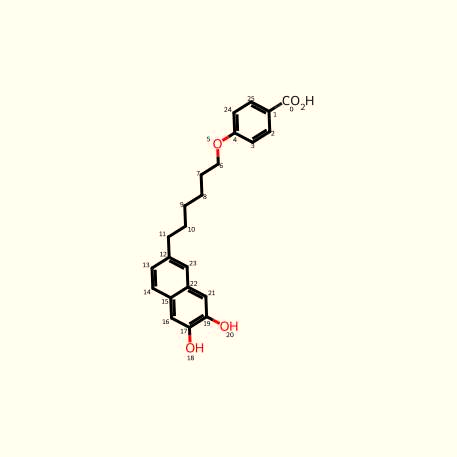 O=C(O)c1ccc(OCCCCCCc2ccc3cc(O)c(O)cc3c2)cc1